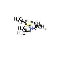 C=C(C)CN(CC(C)C)C(=S)SCCC